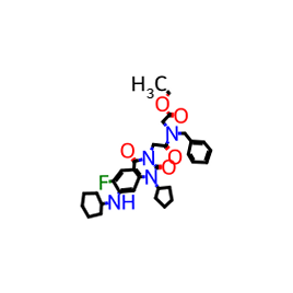 CCOC(=O)CN(Cc1ccccc1)C(=O)Cn1c(=O)c2cc(F)c(NC3CCCCC3)cc2n(C2CCCC2)c1=O